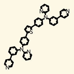 c1ccc(N(c2ccc(-c3ccc(-c4ccc(N(c5cccc(-c6ccncc6)c5)c5ccccn5)cc4)s3)cc2)c2cccc(-c3ccncc3)c2)nc1